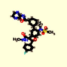 CNC(=O)c1c(-c2ccc(F)cc2)oc2cc(N(C)S(C)(=O)=O)c(-c3cccc(-c4nc5nccnc5o4)c3)cc12